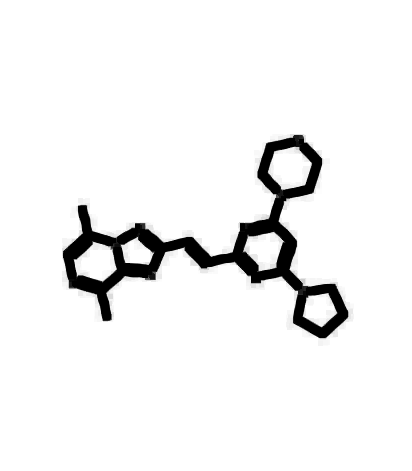 Cc1ncc(C)n2nc(C=Cc3nc(N4CCCC4)cc(N4CCOCC4)n3)nc12